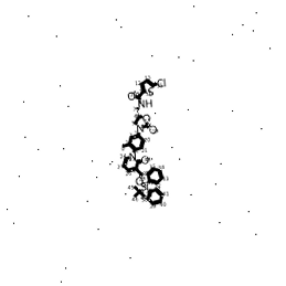 Cc1cc(N2C[C@H](CNC(=O)c3ccc(Cl)s3)OC2=O)ccc1-n1cccc(CO[Si](c2ccccc2)(c2ccccc2)C(C)(C)C)c1=O